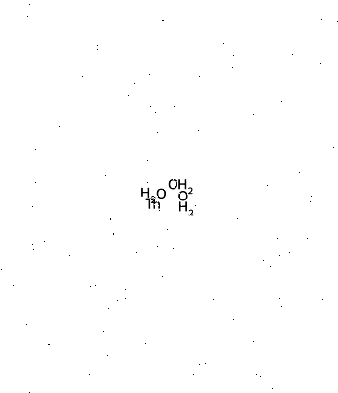 O.O.O.[Th]